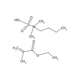 C=C(C)C(=O)OCC.CCCC[N+](C)(C)S(=O)(=O)O